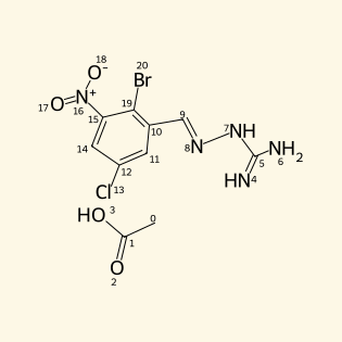 CC(=O)O.N=C(N)N/N=C/c1cc(Cl)cc([N+](=O)[O-])c1Br